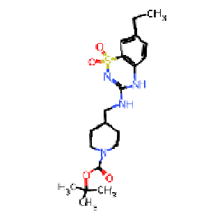 CCc1ccc2c(c1)S(=O)(=O)N=C(NCC1CCN(C(=O)OC(C)(C)C)CC1)N2